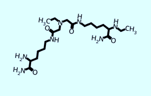 CCNC(CCCCNC(=O)CN(CC)CC(=O)NCCCCC(N)C(N)=O)C(N)=O